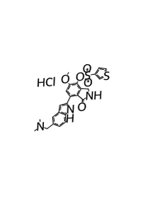 COc1cc(-c2cc3cc(CN(C)C)ccc3[nH]2)c2c(c1OS(=O)(=O)c1ccsc1)CNC2=O.Cl